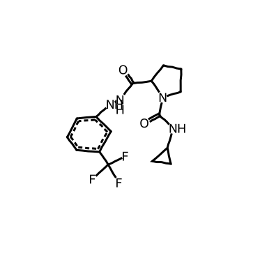 O=C(NNc1cccc(C(F)(F)F)c1)C1CCCN1C(=O)NC1CC1